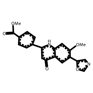 COC(=O)c1ccc(-c2cc(=O)c3cc(-c4cnco4)c(OC)cc3[nH]2)cc1